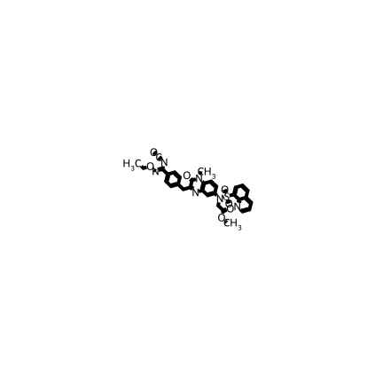 CCON=C(N=C=O)c1ccc(Cc2nc3cc(N(CC(=O)OC)S(=O)(=O)c4cccc5cccnc45)ccc3n(C)c2=O)cc1